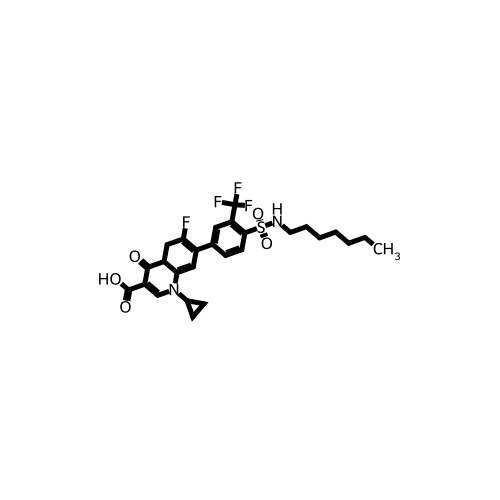 CCCCCCCNS(=O)(=O)c1ccc(C2=C(F)CC3C(=O)C(C(=O)O)=CN(C4CC4)C3=C2)cc1C(F)(F)F